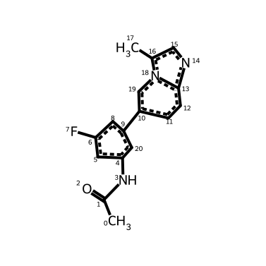 CC(=O)Nc1cc(F)cc(-c2ccc3ncc(C)n3c2)c1